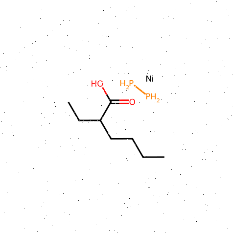 CCCCC(CC)C(=O)O.PP.[Ni]